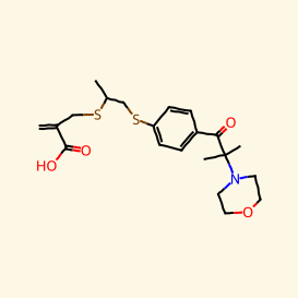 C=C(CSC(C)CSc1ccc(C(=O)C(C)(C)N2CCOCC2)cc1)C(=O)O